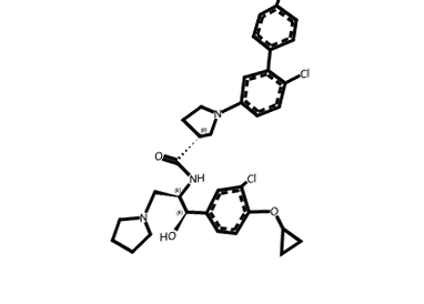 O=C(N[C@H](CN1CCCC1)[C@H](O)c1ccc(OC2CC2)c(Cl)c1)[C@@H]1CCN(c2ccc(Cl)c(-c3ccc(F)cc3)c2)C1